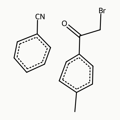 Cc1ccc(C(=O)CBr)cc1.N#Cc1ccccc1